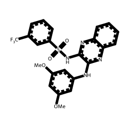 COc1cc(Nc2nc3ccccc3nc2NS(=O)(=O)c2cccc(C(F)(F)F)c2)cc(OC)c1